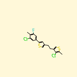 Cc1scc(CCc2csc(-c3cc(F)c(C)c(Cl)c3)c2)c1Cl